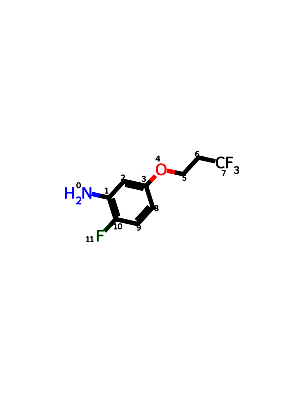 Nc1cc(OCCC(F)(F)F)ccc1F